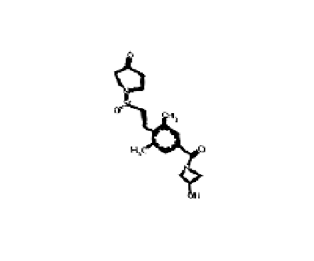 Cc1cc(C(=O)N2CC(O)C2)cc(C)c1/C=C/[S@+]([O-])N1CCC(=O)CC1